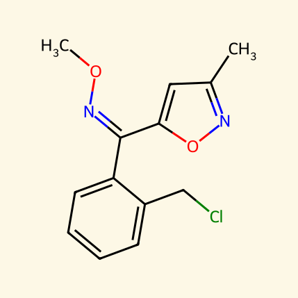 CON=C(c1cc(C)no1)c1ccccc1CCl